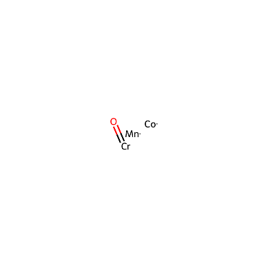 [Co].[Mn].[O]=[Cr]